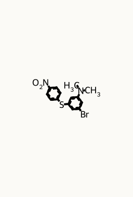 CN(C)c1cc(Br)cc(Sc2ccc([N+](=O)[O-])cc2)c1